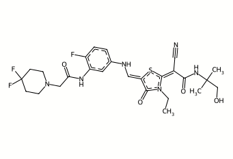 CCn1c(=C(C#N)C(=O)NC(C)(C)CO)sc(=CNc2ccc(F)c(NC(=O)CN3CCC(F)(F)CC3)c2)c1=O